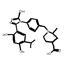 CC(C)c1cc(-c2nnc(O)n2-c2ccc(CN3CCC(C(=O)O)CC3C)cc2)c(O)cc1O